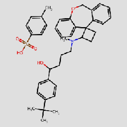 CN(CCCC(O)c1ccc(C(C)(C)C)cc1)C1CCC12c1ccccc1COc1ccccc12.Cc1ccc(S(=O)(=O)O)cc1